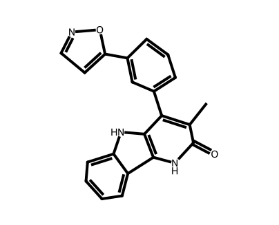 Cc1c(-c2cccc(-c3ccno3)c2)c2[nH]c3ccccc3c2[nH]c1=O